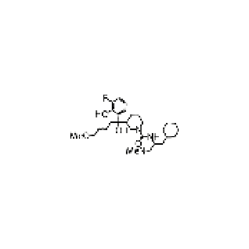 CNCC(CC1CCCCC1)NC(=O)N1CCCC(C(O)(CCCCOC)c2cccc(F)c2O)C1